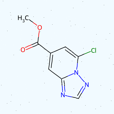 COC(=O)c1cc(Cl)n2ncnc2c1